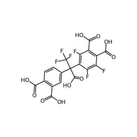 O=C(O)c1ccc(C(C(=O)O)(c2c(F)c(F)c(C(=O)O)c(C(=O)O)c2F)C(F)(F)F)cc1C(=O)O